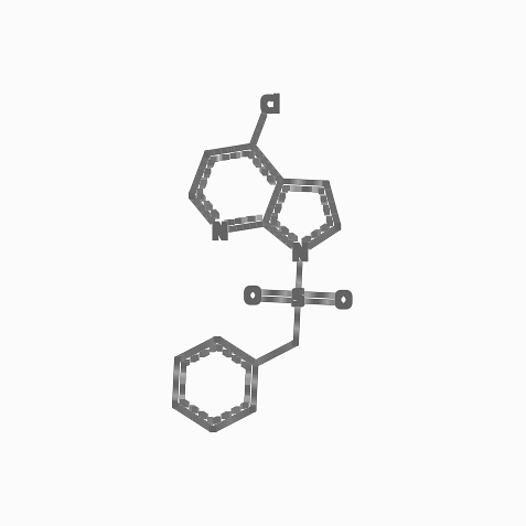 O=S(=O)(Cc1ccccc1)n1ccc2c(Cl)ccnc21